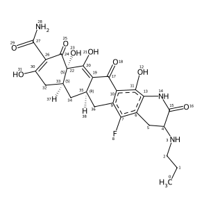 CCCNC1Cc2c(F)c3c(c(O)c2NC1=O)C(=O)C1=C(O)[C@]2(O)C(=O)C(C(N)=O)=C(O)C[C@@H]2C[C@@H]1C3